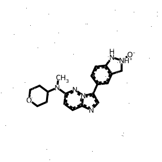 CN(c1ccc2ncc(-c3ccc4c(c3)C[NH+]([O-])N4)n2n1)C1CCOCC1